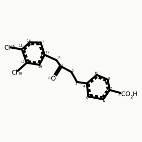 O=C(CCc1ccc(C(=O)O)cc1)Cc1ccc(Cl)c(Cl)c1